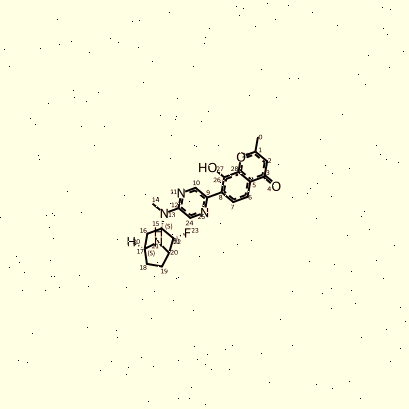 Cc1cc(=O)c2ccc(-c3cnc(N(C)[C@H]4C[C@@H]5CCC(N5)[C@H]4F)cn3)c(O)c2o1